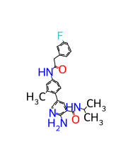 Cc1cc(NC(=O)Cc2cccc(F)c2)ccc1-c1cnc(N)c(C(=O)NC(C)C)c1